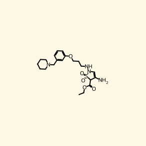 CCOC(=O)C1C(N)=CN(NCCCOc2cccc(CN3CCCCC3)c2)S1(=O)=O